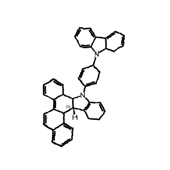 C1=CCC2C(=C1)c1ccccc1N2C1C=CC(N2C3=C(CCC=C3)[C@@H]3C4C(=C5C=CC=CC5C32)C=Cc2ccccc24)=CC1